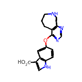 O=C(O)c1c[nH]c2ccc(Oc3ncnc4c3CCCNC4)cc12